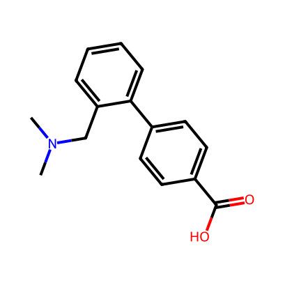 CN(C)Cc1ccccc1-c1ccc(C(=O)O)cc1